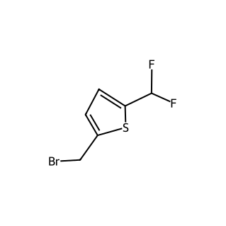 FC(F)c1ccc(CBr)s1